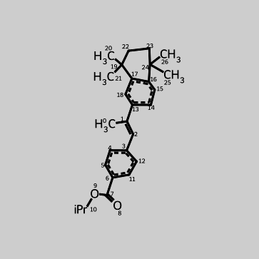 C/C(=C\c1ccc(C(=O)OC(C)C)cc1)c1ccc2c(c1)C(C)(C)CCC2(C)C